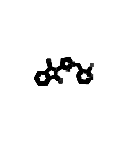 O=C1c2ccccc2C(=O)N1c1ccn(Cc2cccnc2F)n1